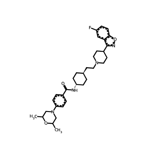 CC1CN(c2ccc(C(=O)N[C@H]3CC[C@H](CCN4CCC(c5noc6ccc(F)cc56)CC4)CC3)cc2)CC(C)O1